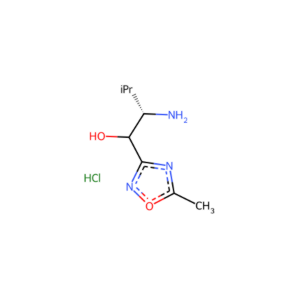 Cc1nc(C(O)[C@@H](N)C(C)C)no1.Cl